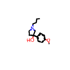 CCCCN1CCC(O)(c2ccc(OC)cc2)C1